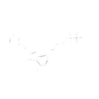 CC(C)(C)[Si](C)(C)OCCCOc1cc(Cl)c(Cl)c2[nH]c(COC3CCCCO3)cc12